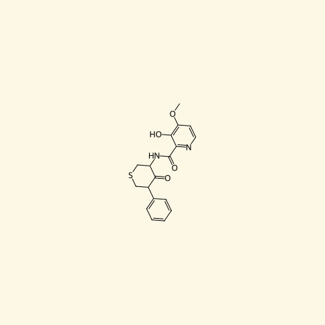 COc1ccnc(C(=O)NC2CSCC(c3ccccc3)C2=O)c1O